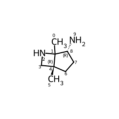 CC12NC[C@@]1(C)CC[C@H]2N